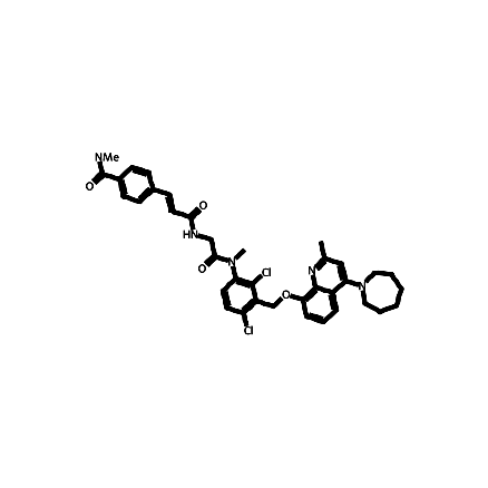 CNC(=O)c1ccc(C=CC(=O)NCC(=O)N(C)c2ccc(Cl)c(COc3cccc4c(N5CCCCCC5)cc(C)nc34)c2Cl)cc1